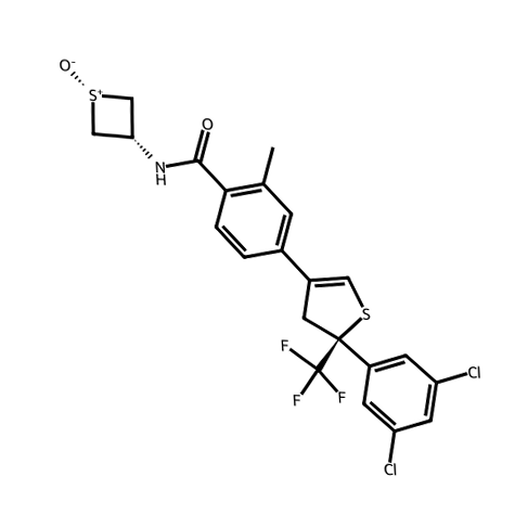 Cc1cc(C2=CS[C@@](c3cc(Cl)cc(Cl)c3)(C(F)(F)F)C2)ccc1C(=O)N[C@H]1C[S@@+]([O-])C1